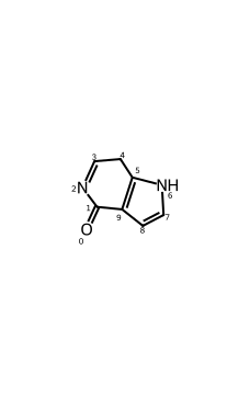 O=C1N=CCc2[nH]ccc21